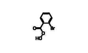 O=C(OO)c1ccccc1Br